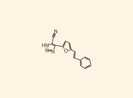 N#Cc1[nH]nnc1-c1ccc(/C=C/c2ccccc2)o1